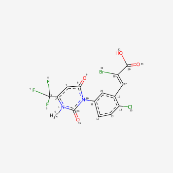 Cn1c(C(F)(F)F)cc(=O)n(-c2ccc(Cl)c(C=C(Br)C(=O)O)c2)c1=O